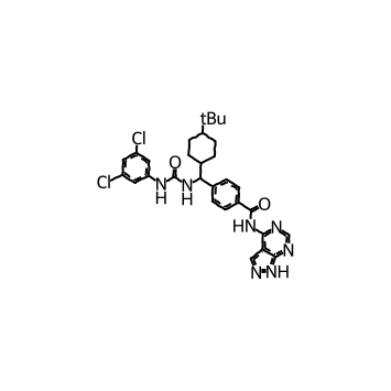 CC(C)(C)C1CCC(C(NC(=O)Nc2cc(Cl)cc(Cl)c2)c2ccc(C(=O)Nc3ncnc4[nH]ncc34)cc2)CC1